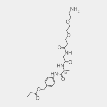 CCC(=O)OCc1ccc(NC(=O)[C@H](C)NC(=O)CNC(=O)CCOCCOCCN)cc1